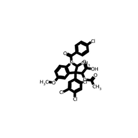 COc1ccc2c(c1)C(c1cc(Cl)c(Cl)cc1Cl)(C(OC(C)=O)C(=O)O)C(C)N2C(=O)c1ccc(Cl)cc1